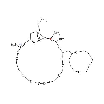 CCCC1CC(CC2CCCCCCCCCC2)CCCCCCCCCCCCCCC/C(N)=C\C2=C[C@]3(CCCN)C(CC2)C3(CN)C1